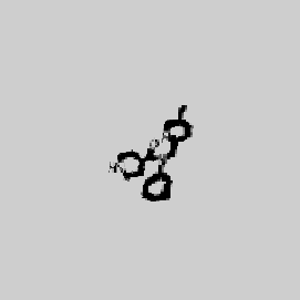 Cc1ccc(CN(C(=O)C2CCNCC2)c2ccccc2)nc1